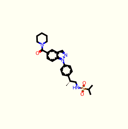 CC(C)S(=O)(=O)NC[C@H](C)c1ccc(-n2ncc3cc(C(=O)N4CCCCC4)ccc32)cc1